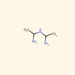 NC(NC(N)C(Cl)(Cl)Cl)C(Cl)(Cl)Cl